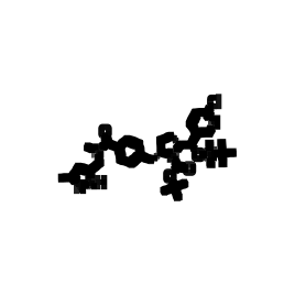 Cc1cc(CN(C)C(=O)c2ccc(C[C@@H]3CC[C@H]([C@H](O[Si](C)(C)C(C)(C)C)c4ccc(Cl)nc4)N3C(=O)OC(C)(C)C)cc2)[nH]n1